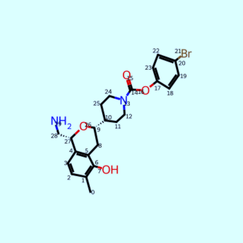 Cc1ccc2c(c1O)C[C@@H](C1CCN(C(=O)Oc3ccc(Br)cc3)CC1)O[C@H]2CN